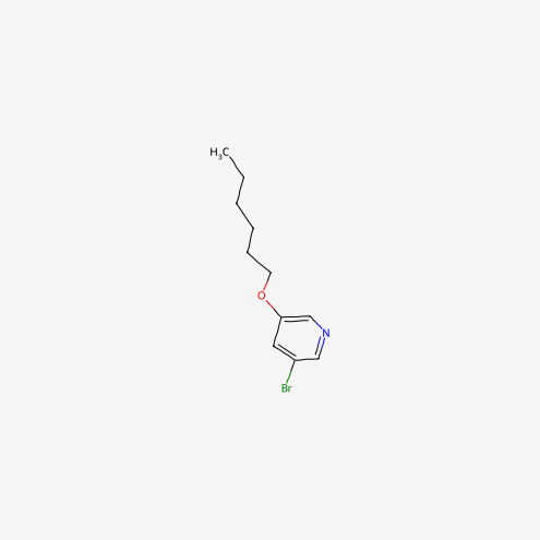 CCCCCCOc1cncc(Br)c1